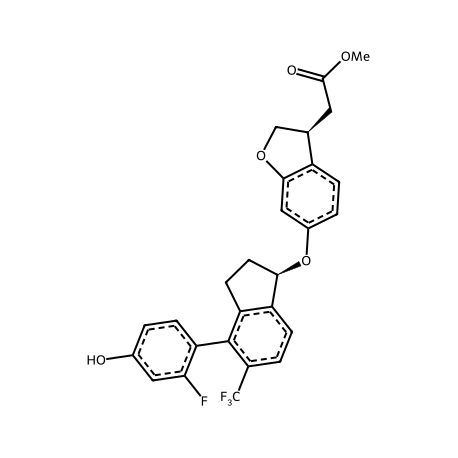 COC(=O)C[C@@H]1COc2cc(O[C@@H]3CCc4c3ccc(C(F)(F)F)c4-c3ccc(O)cc3F)ccc21